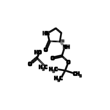 CC(=O)O.CC(C)(C)OC(=O)N[C@H]1CCNC1=O